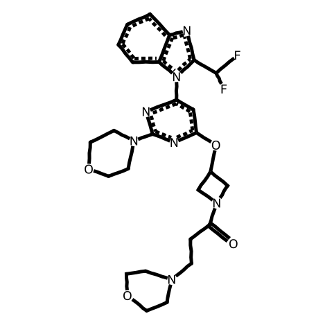 O=C(CCN1CCOCC1)N1CC(Oc2cc(-n3c(C(F)F)nc4ccccc43)nc(N3CCOCC3)n2)C1